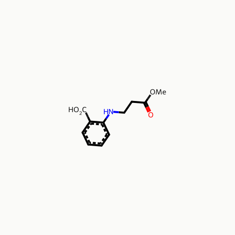 COC(=O)CCNc1ccccc1C(=O)O